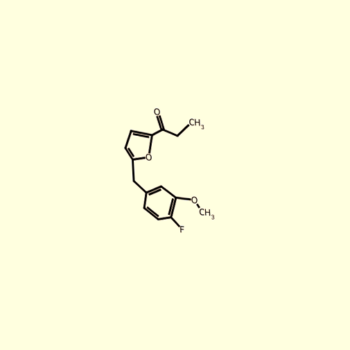 CCC(=O)c1ccc(Cc2ccc(F)c(OC)c2)o1